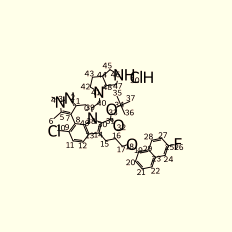 Cc1nn(C)c(C)c1-c1c(Cl)ccc2c(CCCOc3cccc4cc(F)ccc34)c(C(=O)OC(C)(C)C)n(CCN3CCC4CNCC43)c12.Cl